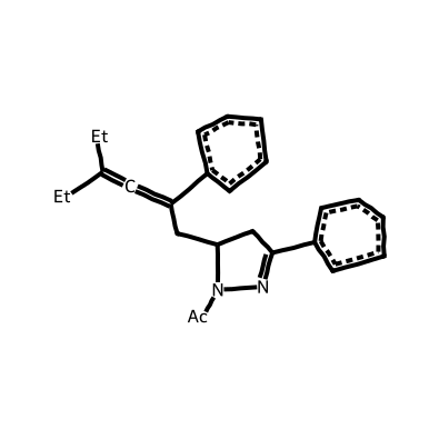 CCC(=C=C(CC1CC(c2ccccc2)=NN1C(C)=O)c1ccccc1)CC